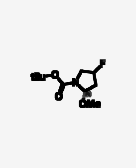 CO[C@H]1CC(F)CN1C(=O)OC(C)(C)C